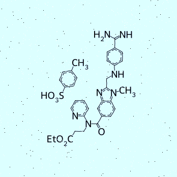 CCOC(=O)CCN(C(=O)c1ccc2c(c1)nc(CNc1ccc(C(=N)N)cc1)n2C)c1ccccn1.Cc1ccc(S(=O)(=O)O)cc1